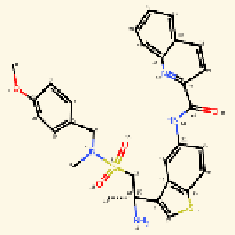 COc1ccc(CN(C)S(=O)(=O)C[C@](C)(N)c2csc3ccc(NC(=O)c4ccc5ccccc5n4)cc23)cc1